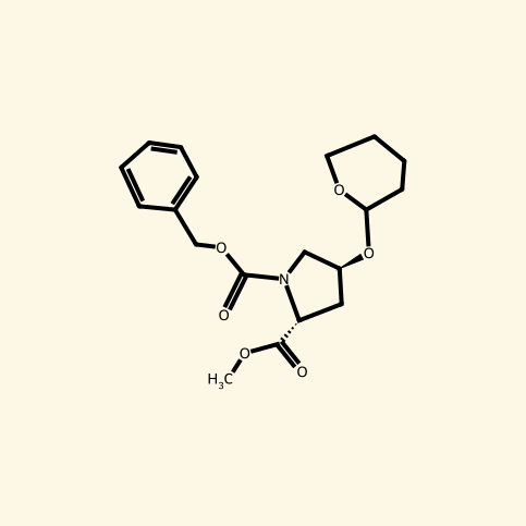 COC(=O)[C@H]1C[C@H](OC2CCCCO2)CN1C(=O)OCc1ccccc1